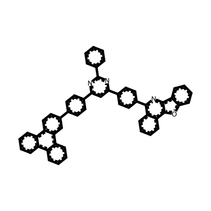 c1ccc(-c2nc(-c3ccc(-c4ccc5c6ccccc6c6ccccc6c5c4)cc3)cc(-c3ccc(-c4nc5c6ccccc6oc5c5ccccc45)cc3)n2)cc1